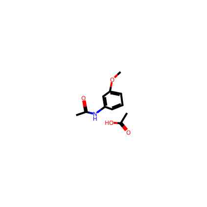 CC(=O)O.COc1cccc(NC(C)=O)c1